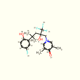 Cc1cn(CC(O)(CC(C)(C)c2cc(F)ccc2O)C(F)(F)F)cc(C)c1=O